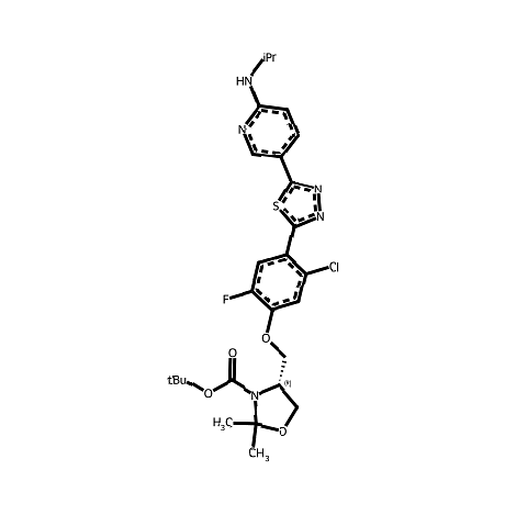 CC(C)Nc1ccc(-c2nnc(-c3cc(F)c(OC[C@@H]4COC(C)(C)N4C(=O)OC(C)(C)C)cc3Cl)s2)cn1